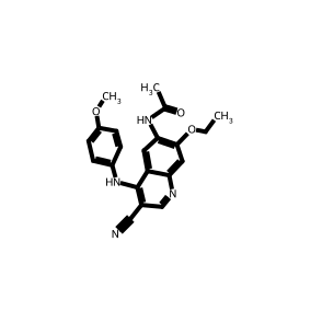 CCOc1cc2ncc(C#N)c(Nc3ccc(OC)cc3)c2cc1NC(C)=O